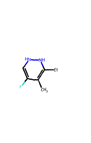 CCC1=C(C)C(F)=CNN1